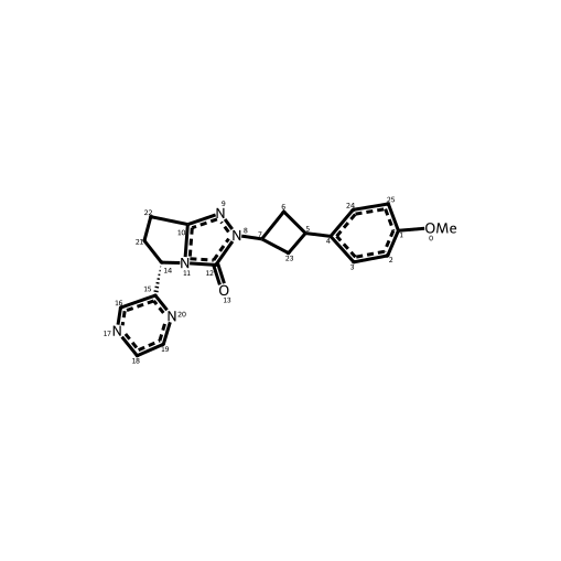 COc1ccc(C2CC(n3nc4n(c3=O)[C@H](c3cnccn3)CC4)C2)cc1